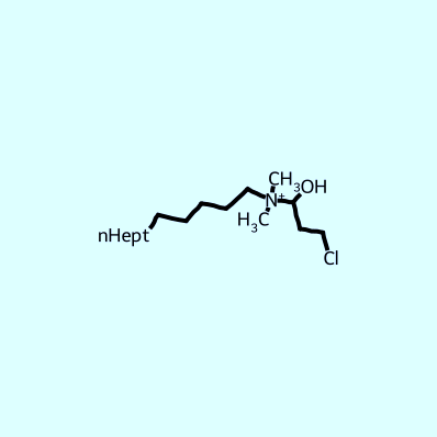 CCCCCCCCCCCC[N+](C)(C)C(O)CCCl